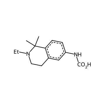 CCN1CCc2cc(NC(=O)O)ccc2C1(C)C